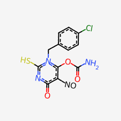 NC(=O)Oc1c(N=O)c(=O)nc(S)n1Cc1ccc(Cl)cc1